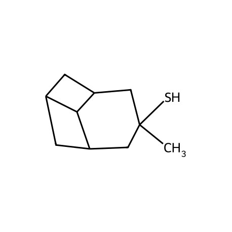 CC1(S)CC2CC3CC(C1)C32